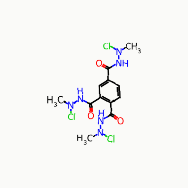 CN(Cl)NC(=O)c1ccc(C(=O)NN(C)Cl)c(C(=O)NN(C)Cl)c1